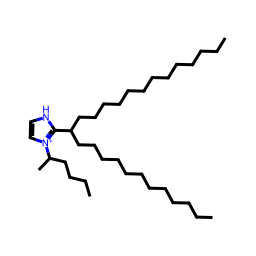 CCCCCCCCCCCCCC(CCCCCCCCCCCC)c1[nH]cc[n+]1C(C)CCCC